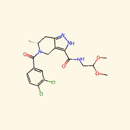 COC(CNC(=O)c1[nH]nc2c1CN(C(=O)c1ccc(Cl)c(Cl)c1)[C@H](C)C2)OC